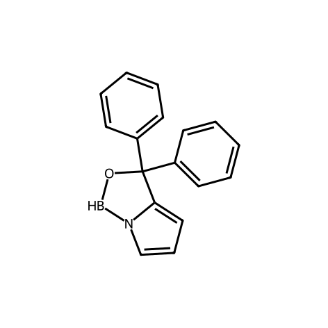 B1OC(c2ccccc2)(c2ccccc2)c2cccn21